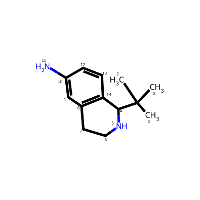 CC(C)(C)C1NCCc2cc(N)ccc21